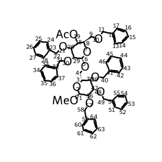 CO[C@H]1O[C@H](CO[C@H]2O[C@H](COCc3ccccc3)[C@H](OC(C)=O)[C@H](OCc3ccccc3)[C@H]2OCc2ccccc2)[C@@H](OCc2ccccc2)[C@H](OCc2ccccc2)[C@H]1OCc1ccccc1